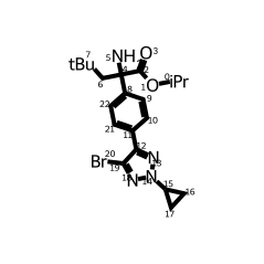 CC(C)OC(=O)C(N)(CC(C)(C)C)c1ccc(-c2nn(C3CC3)nc2Br)cc1